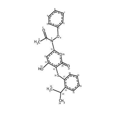 CC(=O)N(Oc1ccccc1)c1cc(O)c(Sc2ccccc2C(C)C)c(=O)o1